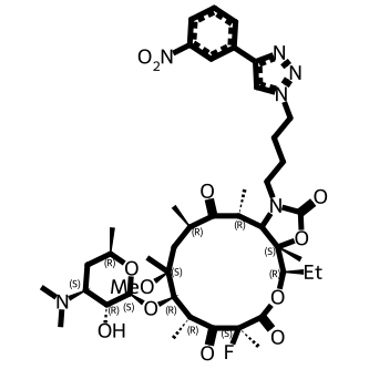 CC[C@H]1OC(=O)[C@@](C)(F)C(=O)[C@H](C)[C@@H](O[C@@H]2O[C@H](C)C[C@H](N(C)C)[C@H]2O)[C@@](C)(OC)C[C@@H](C)C(=O)[C@H](C)C2N(CCCCn3cc(-c4cccc([N+](=O)[O-])c4)nn3)C(=O)O[C@@]21C